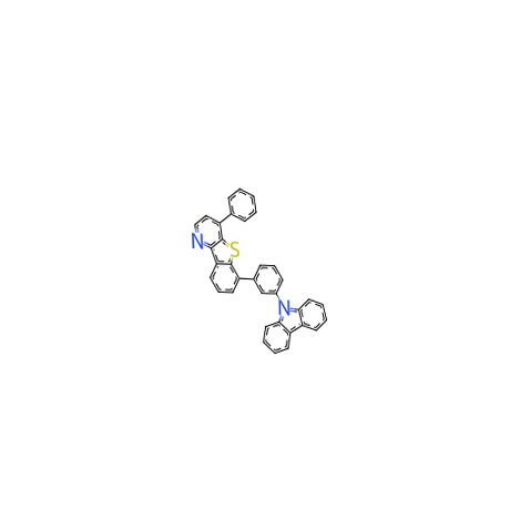 c1ccc(-c2ccnc3c2sc2c(-c4cccc(-n5c6ccccc6c6ccccc65)c4)cccc23)cc1